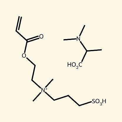 C=CC(=O)OCC[N+](C)(C)CCCS(=O)(=O)O.CC(C(=O)O)N(C)C